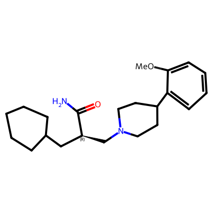 COc1ccccc1C1CCN(C[C@@H](CC2CCCCC2)C(N)=O)CC1